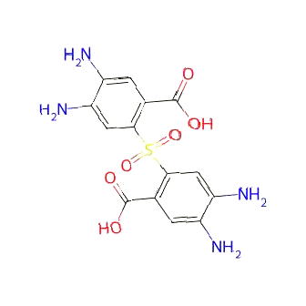 Nc1cc(C(=O)O)c(S(=O)(=O)c2cc(N)c(N)cc2C(=O)O)cc1N